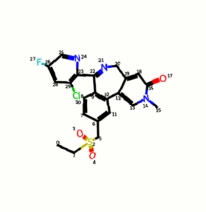 CCS(=O)(=O)Cc1ccc2c(c1)-c1cn(C)c(=O)cc1CN=C2c1ncc(F)cc1Cl